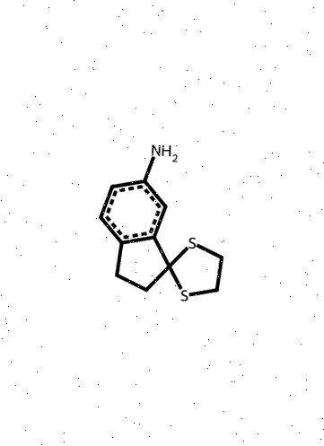 Nc1ccc2c(c1)C1(CC2)SCCS1